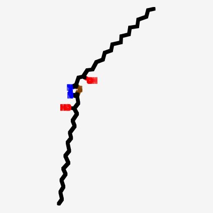 CCCCCCCCCCCCCCCCC(O)Cc1nnc(CC(O)CCCCCCCCCCCCCCCC)s1